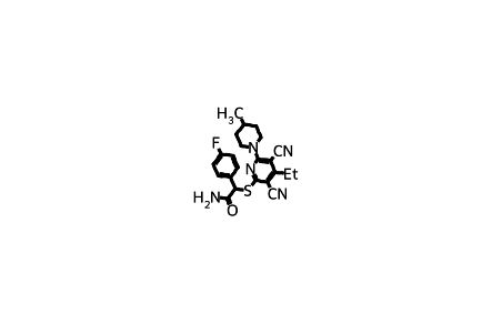 CCc1c(C#N)c(SC(C(N)=O)c2ccc(F)cc2)nc(N2CCC(C)CC2)c1C#N